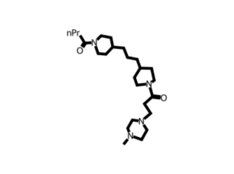 CCCC(=O)N1CCC(CCCC2CCN(C(=O)CCN3CCN(C)CC3)CC2)CC1